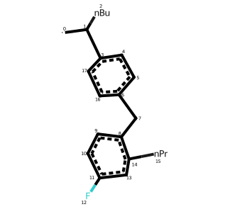 [CH2]C(CCCC)c1ccc(Cc2ccc(F)cc2CCC)cc1